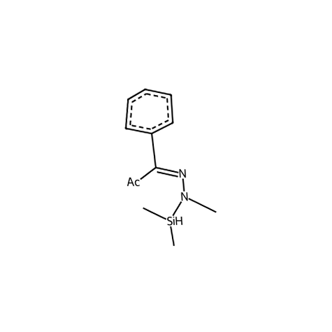 CC(=O)C(=NN(C)[SiH](C)C)c1ccccc1